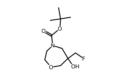 CC(C)(C)OC(=O)N1CCOCC(O)(CF)C1